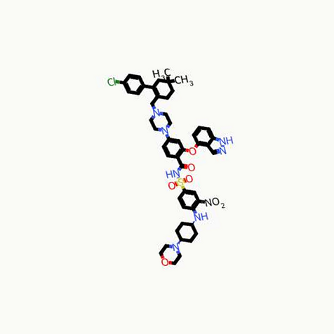 CC1(C)CCC(CN2CCN(c3ccc(C(=O)NS(=O)(=O)c4ccc(N[C@H]5CC[C@H](N6CCOCC6)CC5)c([N+](=O)[O-])c4)c(Oc4cccc5[nH]ncc45)c3)CC2)=C(c2ccc(Cl)cc2)C1